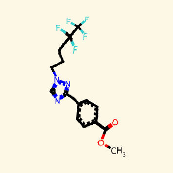 COC(=O)c1ccc(-c2ncn(CCCC(F)(F)C(F)(F)F)n2)cc1